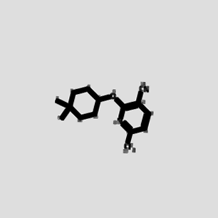 CC1(C)CCC(Oc2nc(C(F)(F)F)ccc2C#N)CC1